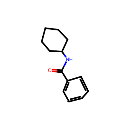 O=C(NC1CCCCC1)c1c[c]ccc1